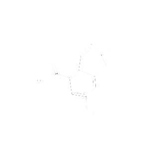 COC(=O)c1cc(C)cc2cc(O)ccc12